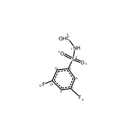 O=[C]NS(=O)(=O)c1cc(F)cc(F)c1